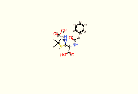 CC1(C)S[C@H]([C@H](NC(=O)Cc2ccccc2)C(=O)O)N[C@H]1C(=O)O